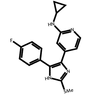 CSc1nc(-c2ccnc(NC3CC3)c2)c(-c2ccc(F)cc2)[nH]1